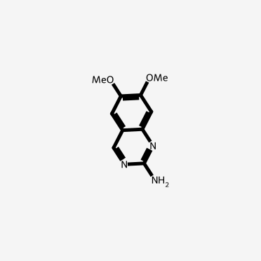 COc1cc2cnc(N)nc2cc1OC